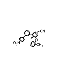 Cc1ccccc1Oc1cn(CC#N)cc(-c2cccc(-c3ccc([N+](=O)[O-])cc3)c2)c1=S